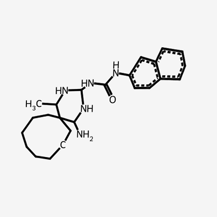 CC1NC(NC(=O)Nc2ccc3ccccc3c2)NC(N)C12CCCCCCCC2